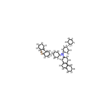 c1ccc(-c2ccc(N(c3ccc(-c4ccc5sc6ccccc6c5c4)cc3)c3ccc4c(ccc5ccccc54)c3)cc2)cc1